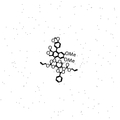 C=CCOC(=O)O[C@H]1[C@H](OC(=O)c2ccccc2)[C@@H](OC(=O)OCC=C)C(Oc2c3c(c(-c4ccc5c(c4)OCO5)c4cc(OC)c(OC)cc24)C(=O)OC3)O[C@@H]1C